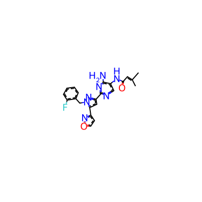 CC(C)=CC(=O)Nc1cnc(-c2cc(-c3ccon3)n(Cc3ccccc3F)n2)nc1N